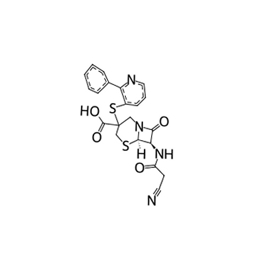 N#CCC(=O)N[C@@H]1C(=O)N2CC(Sc3cccnc3-c3ccccc3)(C(=O)O)CS[C@H]12